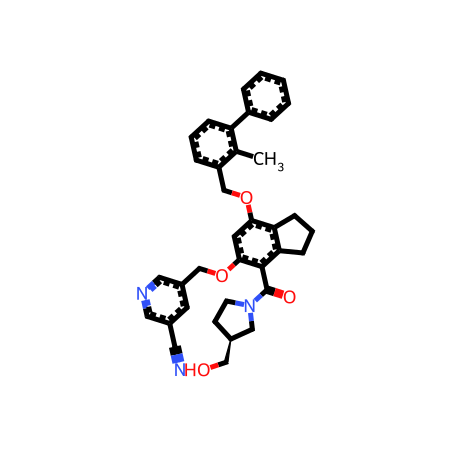 Cc1c(COc2cc(OCc3cncc(C#N)c3)c(C(=O)N3CC[C@H](CO)C3)c3c2CCC3)cccc1-c1ccccc1